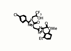 CCc1cccc(C)c1-n1nc(Cn2nc(-c3ccc(Cl)cc3)n(CC(O)C(F)(F)F)c2=O)nc1C(=O)OC